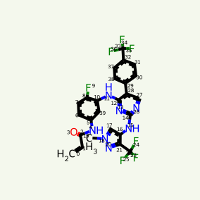 C=CC(=O)Nc1ccc(F)c(Nc2nc(Nc3cn(C)nc3C(F)(F)F)ncc2-c2ccc(C(F)(F)F)cc2)c1